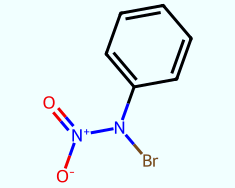 O=[N+]([O-])N(Br)c1ccccc1